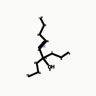 [CH2]CC/C=C/C(O)(CCC)CCC